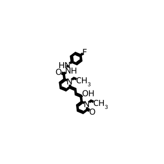 CCN1C(=C/C=C(\O)c2cccc(=O)n2CC)C=CC=C1C(=O)NNc1ccc(F)cc1